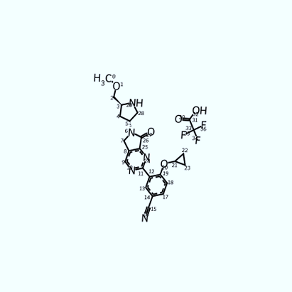 COC[C@@H]1C[C@@H](N2Cc3cnc(-c4cc(C#N)ccc4OC4CC4)nc3C2=O)CN1.O=C(O)C(F)(F)F